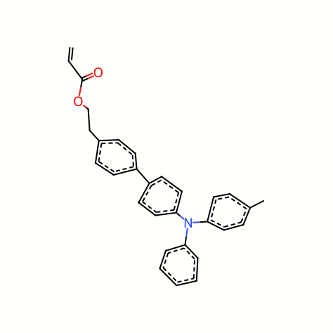 C=CC(=O)OCCc1ccc(-c2ccc(N(c3ccccc3)c3ccc(C)cc3)cc2)cc1